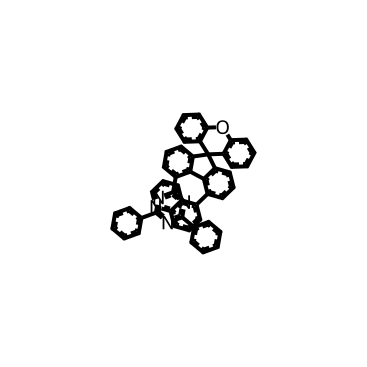 c1ccc(-c2nc(-c3ccccc3)nc(-c3cccc4c3-c3c(-c5cccc6ncccc56)cccc3C43c4ccccc4Oc4ccccc43)n2)cc1